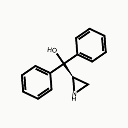 OC(c1ccccc1)(c1ccccc1)[C@H]1CN1